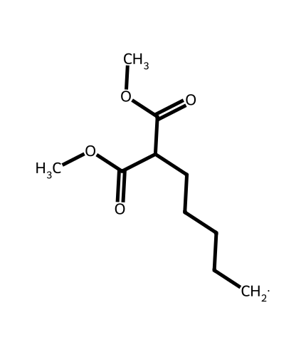 [CH2]CCCCC(C(=O)OC)C(=O)OC